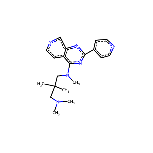 CN(C)CC(C)(C)CN(C)c1nc(-c2ccncc2)nc2cnccc12